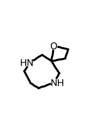 C1CNCC2(CCO2)CNC1